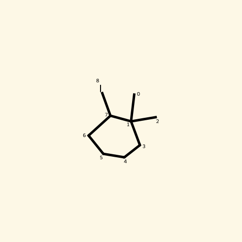 CC1(C)CCCCC1I